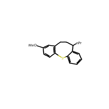 CCCC1CCc2cc(OC)ccc2Sc2ccccc21